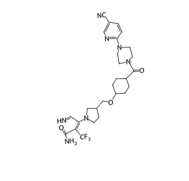 N#Cc1ccc(N2CCN(C(=O)C3CCC(OCC4CCN(/C(C=N)=C(/C(N)=O)C(F)(F)F)C4)CC3)CC2)nc1